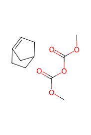 C1=C2CCC(C1)C2.COC(=O)OC(=O)OC